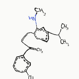 C=C(/C=C\c1ccc(C(C)C)cc1NC)c1cccc(C)c1